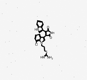 N=C(N)SCCCn1cc(C2=C(c3c[nH]c4ccccc34)C(=O)NC2=O)c2cccc(Cl)c21